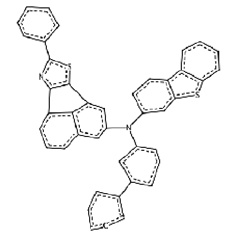 c1ccc(-c2cccc(N(c3cc4c5c(cccc5c3)-c3nc(-c5ccccc5)sc3-4)c3ccc4c(c3)sc3ccccc34)c2)cc1